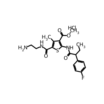 CCC(C(=O)Nc1sc(C(=O)NCCN)c(C)c1C(=O)OC)c1ccc(F)cc1.Cl